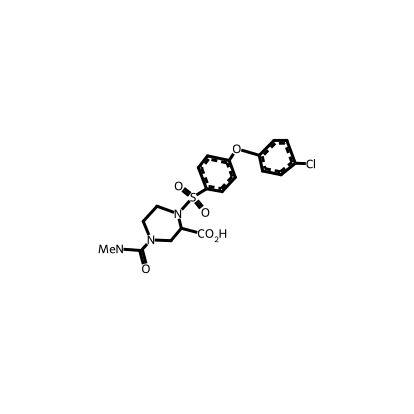 CNC(=O)N1CCN(S(=O)(=O)c2ccc(Oc3ccc(Cl)cc3)cc2)C(C(=O)O)C1